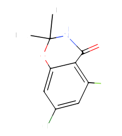 CC1(C)NC(=O)c2c(F)cc(Cl)cc2O1